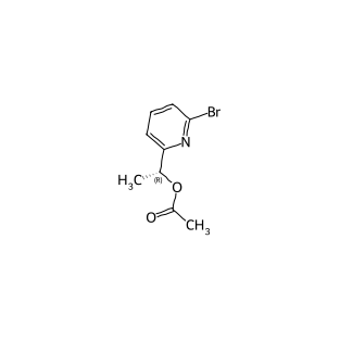 CC(=O)O[C@H](C)c1cccc(Br)n1